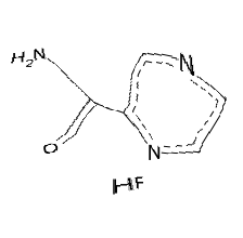 F.NC(=O)c1cnccn1